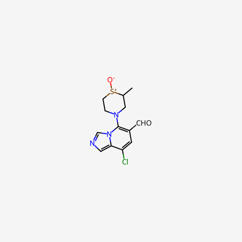 CC1CN(c2c(C=O)cc(Cl)c3cncn23)CC[S+]1[O-]